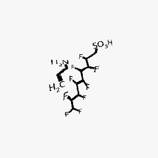 C=CCN.O=S(=O)(O)CC(F)C(F)C(F)C(F)C(F)C(F)C(F)C(F)F